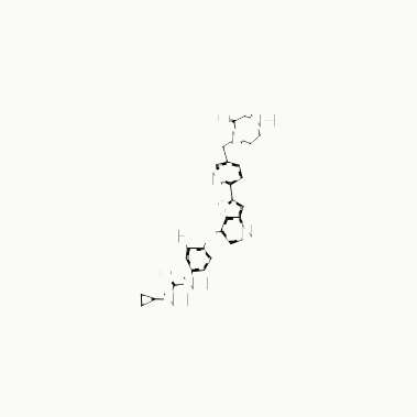 O=C(Nc1ccc(Oc2ccnc3cc(-c4ccc(CN5CCNCC5=O)cn4)sc23)c(F)c1)NC1CC1